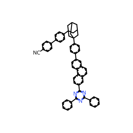 N#Cc1ccc(-c2ccc(C34CC5CC(C3)CC(c3ccc(-c6ccc7c(ccc8cc(-c9nc(-c%10ccccc%10)nc(-c%10ccccc%10)n9)ccc87)c6)cc3)(C5)C4)cc2)cc1